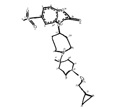 CS(=O)(=O)c1ccc2oc(=O)n(C3CCN([C@]4(C)CC[C@@H](OCC5CC5)CC4)CC3)c2c1